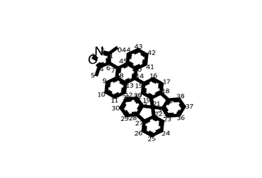 Cc1noc(C)c1-c1c2ccccc2c(-c2ccc3c(c2)C2(c4ccccc4-c4ccccc42)c2ccccc2-3)c2ccccc12